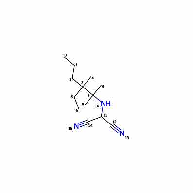 CCCC(C)(CC)C(C)(C)NC(C#N)C#N